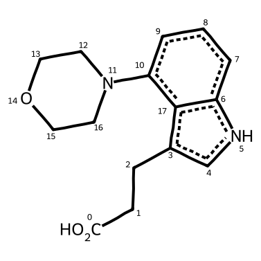 O=C(O)CCc1c[nH]c2cccc(N3CCOCC3)c12